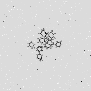 c1ccc(-c2cc(-c3ccccc3)nc(-c3ccc4c(c3)c3c(n4-c4ccccc4)-c4ccccc4[Si]3(c3ccccc3)c3ccccc3)n2)cc1